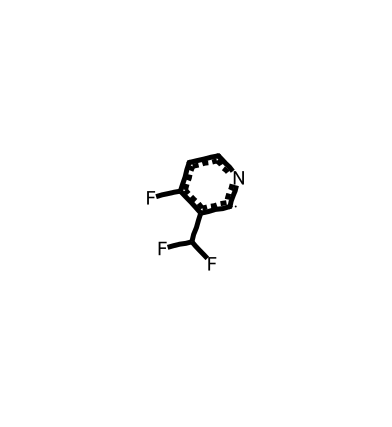 Fc1ccn[c]c1C(F)F